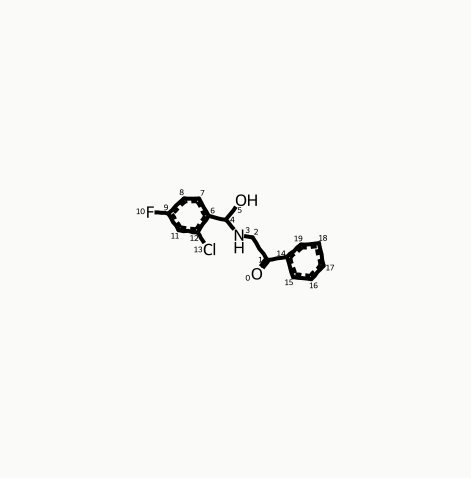 O=C(CNC(O)c1ccc(F)cc1Cl)c1ccccc1